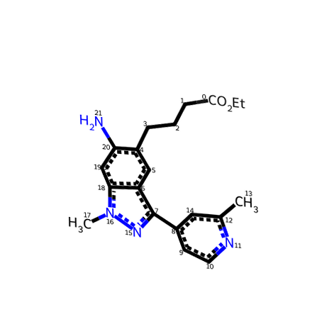 CCOC(=O)CCCc1cc2c(-c3ccnc(C)c3)nn(C)c2cc1N